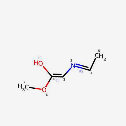 C/C=N/C=C(\O)OC